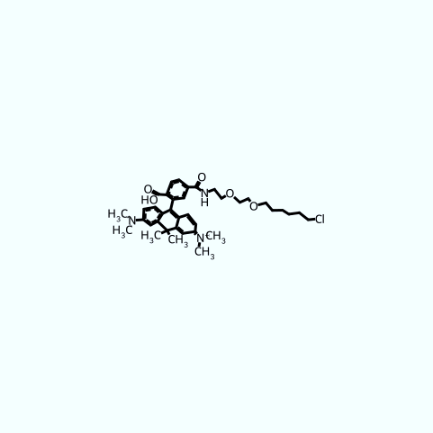 CN(C)c1ccc2c(c1)C(C)(C)C1=CC(=[N+](C)C)C=CC1=C2c1cc(C(=O)NCCOCCOCCCCCCCl)ccc1C(=O)O